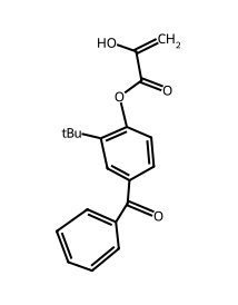 C=C(O)C(=O)Oc1ccc(C(=O)c2ccccc2)cc1C(C)(C)C